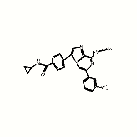 CC(C)CNc1nc(-c2cccc(N)c2)cn2c(-c3ccc(C(=O)NC4CC4)cc3)cnc12